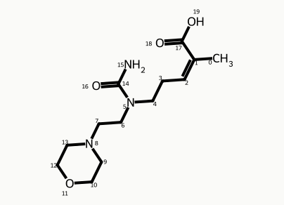 CC(=CCCN(CCN1CCOCC1)C(N)=O)C(=O)O